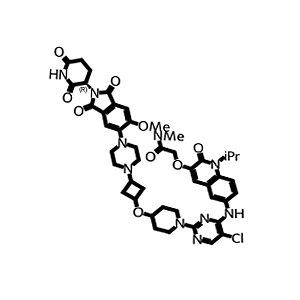 CNC(=O)COc1cc2cc(Nc3nc(N4CCC(OC5CC(N6CCN(c7cc8c(cc7OC)C(=O)N([C@@H]7CCC(=O)NC7=O)C8=O)CC6)C5)CC4)ncc3Cl)ccc2n(C(C)C)c1=O